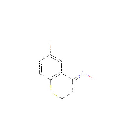 ON=C1CCSc2ccc(Br)cc21